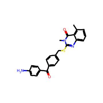 Cc1cccc2nc(SCc3ccc(C(=O)c4ccc(N)cc4)cc3)n(C)c(=O)c12